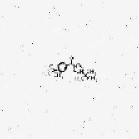 CC(C)(C)c1ccc(C(=O)N2CCN(C(C)(C)C)CC2)cc1